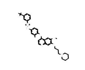 COc1cc2c(Oc3ccc(NS(=O)(=O)c4cccc(C(F)(F)F)c4)cc3F)ccnc2cc1OCCCN1CCCCC1